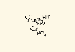 CC(Cc1ccc([N+](=O)[O-])cc1)[n+]1cc([NH-])on1